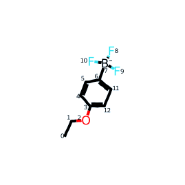 CCOc1ccc([B-](F)(F)F)cc1